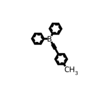 Cc1ccc(C#CB(c2ccccc2)c2ccccc2)cc1